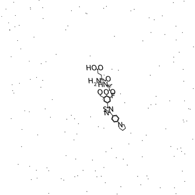 C[C@H](NC(=O)[C@@H](N)CCC(=O)O)C(=O)Oc1c(F)cc(-c2nc(-c3ccc(N4CCCC4)cc3)ns2)cc1C=O